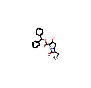 CCC1C(=O)N2C(C(=O)OC(c3ccccc3)c3ccccc3)=C(Br)CC12